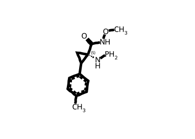 CONC(=O)[C@]1(NP)CC1c1ccc(C)cc1